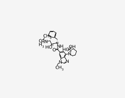 CCn1cnc2c(N3CCCCS3(O)O)cc(C(=O)N[C@@H](Cc3ccccc3)[C@@H](O)CNC(C)C)cc21